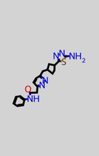 Nc1nnc(C2CCC(Cc3ccc(CC(=O)Nc4ccccc4)nn3)C2)s1